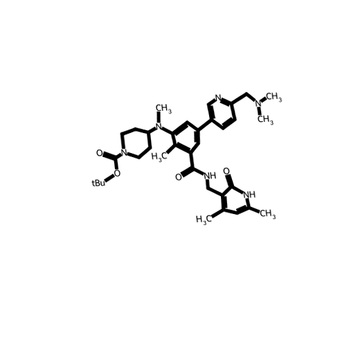 Cc1cc(C)c(CNC(=O)c2cc(-c3ccc(CN(C)C)nc3)cc(N(C)C3CCN(C(=O)OC(C)(C)C)CC3)c2C)c(=O)[nH]1